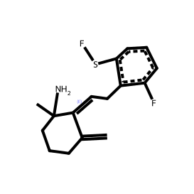 C=C1CCCC(C)(N)/C1=C/Cc1c(F)cccc1SF